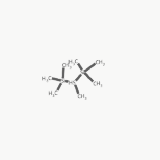 C[SH]([Si](C)(C)C)[Si](C)(C)C